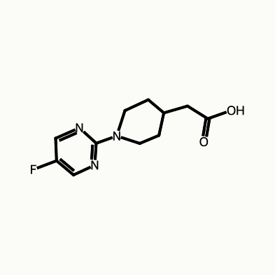 O=C(O)CC1CCN(c2ncc(F)cn2)CC1